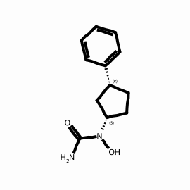 NC(=O)N(O)[C@H]1CC[C@@H](c2ccccc2)C1